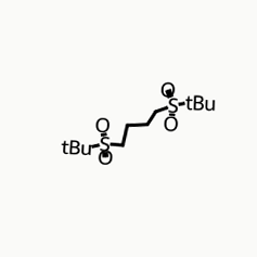 CC(C)(C)S(=O)(=O)CCCCS(=O)(=O)C(C)(C)C